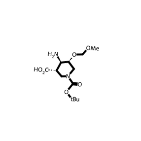 COCO[C@@H]1CN(C(=O)OC(C)(C)C)C[C@H](C(=O)O)[C@H]1N